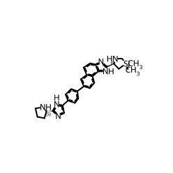 C[Si]1(C)CN[C@H](c2nc3ccc4cc(-c5ccc(-c6cnc([C@@H]7CCCN7)[nH]6)cc5)ccc4c3[nH]2)C1